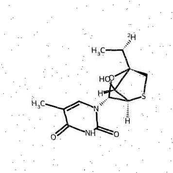 [2H][C@@H](C)[C@@]12CS[C@@H]([C@H](n3cc(C)c(=O)[nH]c3=O)O1)[C@@H]2O